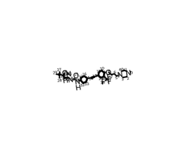 CN1CCN(CCCOc2ccc(C#Cc3ccc(NC(=O)Nc4cc(C(C)(C)C)on4)cc3)cc2C(F)(F)F)CC1